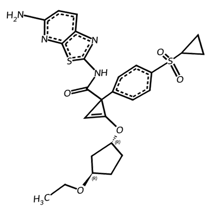 CCO[C@@H]1CC[C@@H](OC2=CC2(C(=O)Nc2nc3ccc(N)nc3s2)c2ccc(S(=O)(=O)C3CC3)cc2)C1